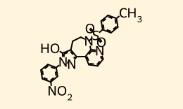 Cc1ccc(S(=O)(=O)N2CCc3c(nn(-c4cccc([N+](=O)[O-])c4)c3O)-c3cccnc32)cc1